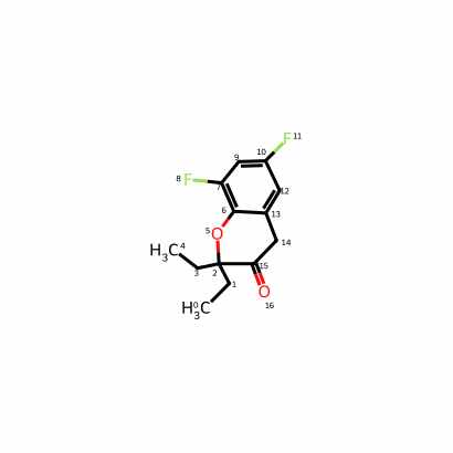 CCC1(CC)Oc2c(F)cc(F)cc2CC1=O